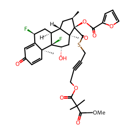 COC(=O)C(C)(C)C(=O)OCC#CCSC(=O)[C@@]1(OC(=O)c2ccco2)[C@H](C)C[C@H]2[C@@H]3C[C@H](F)C4=CC(=O)C=C[C@]4(C)[C@@]3(F)[C@@H](O)C[C@@]21C